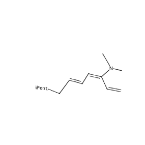 C=C/C(=C\C=CCC(C)CCC)N(C)C